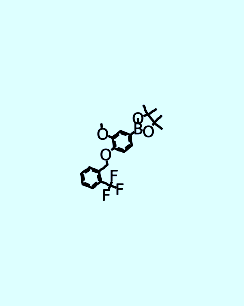 COc1cc(B2OC(C)(C)C(C)(C)O2)ccc1OCc1ccccc1C(F)(F)F